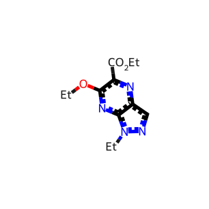 CCOC(=O)c1nc2cnn(CC)c2nc1OCC